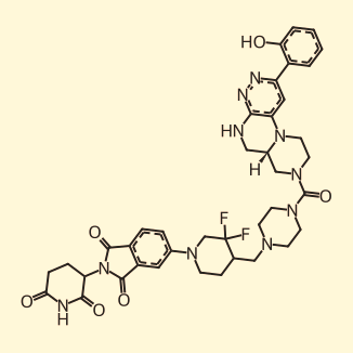 O=C1CCC(N2C(=O)c3ccc(N4CCC(CN5CCN(C(=O)N6CCN7c8cc(-c9ccccc9O)nnc8NC[C@H]7C6)CC5)C(F)(F)C4)cc3C2=O)C(=O)N1